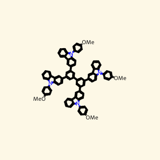 COc1ccc(-n2c3ccccc3c3cc(-c4cc(-c5cc(-c6ccc7c(c6)c6ccccc6n7-c6ccc(OC)cc6)cc(-c6ccc7c(c6)c6ccccc6n7-c6ccc(OC)cc6)c5)cc(-c5ccc6c(c5)c5ccccc5n6-c5ccc(OC)cc5)c4)ccc32)cc1